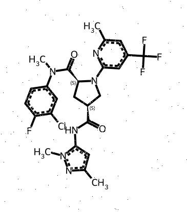 Cc1cc(C(F)(F)F)cc(N2C[C@@H](C(=O)Nc3cc(C)nn3C)C[C@H]2C(=O)N(C)c2ccc(F)c(Cl)c2)n1